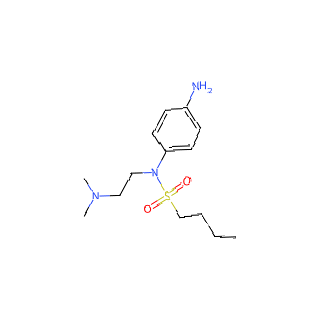 CCCCS(=O)(=O)N(CCN(C)C)c1ccc(N)cc1